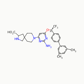 Cc1cc(C)cc(-c2ccc([C@@H](Oc3cc(N4CCC5(CC4)CNC(C(=O)O)C5)nc(N)n3)C(F)(F)F)cc2)c1